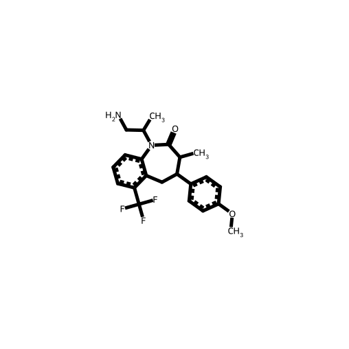 COc1ccc(C2Cc3c(cccc3C(F)(F)F)N(C(C)CN)C(=O)C2C)cc1